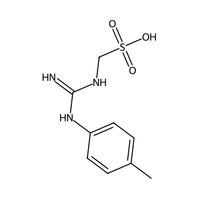 Cc1ccc(NC(=N)NCS(=O)(=O)O)cc1